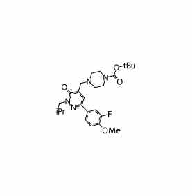 COc1ccc(-c2cc(CN3CCN(C(=O)OC(C)(C)C)CC3)c(=O)n(CC(C)C)n2)cc1F